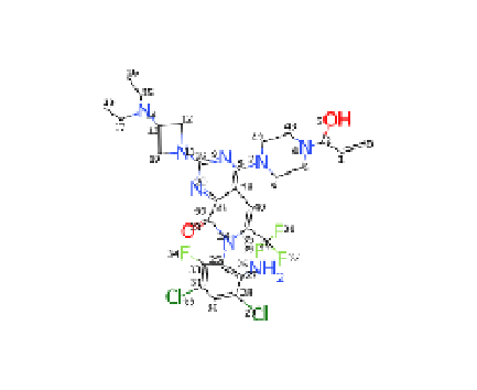 C=CC(O)N1CCN(c2nc(N3CC(N(CC)CC)C3)nc3c(=O)n(-c4c(N)c(Cl)cc(Cl)c4F)c(C(F)(F)F)cc23)CC1